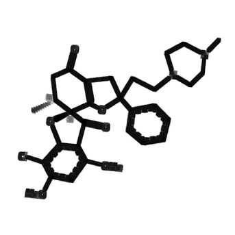 COc1cc(OC)c2c(c1Cl)O[C@]1(C2=O)C2=C(CC(CCN3CCN(C)CC3)(c3ccccc3)O2)C(=O)C[C@H]1C